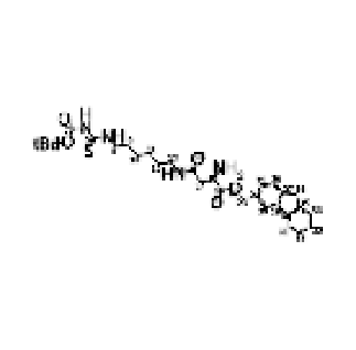 CC(C)(C)OC(=O)NC(=S)NCCCCCCNC(=O)CC(N)C(=O)OCc1ccc2c(c1)-c1ccccc1C2